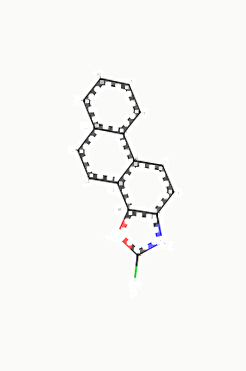 Clc1nc2ccc3c4ccccc4ccc3c2o1